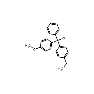 CCc1ccc(C(Cl)(c2ccccc2)c2ccc(OC)cc2)cc1